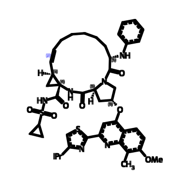 COc1ccc2c(O[C@@H]3C[C@H]4C(=O)N[C@]5(C(=O)NS(=O)(=O)C6CC6)C[C@H]5/C=C\CCCCC[C@H](Nc5ccccc5)C(=O)N4C3)cc(-c3nc(C(C)C)cs3)nc2c1C